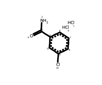 Cl.Cl.NC(=O)c1cccc(Cl)c1